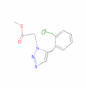 COC(=O)Cn1nncc1-c1ccccc1Cl